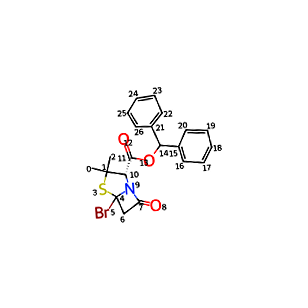 CC1(C)SC2(Br)CC(=O)N2[C@H]1C(=O)OC(c1ccccc1)c1ccccc1